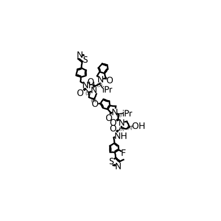 Cc1ncsc1-c1ccc(CNC(=O)[C@@H]2C[C@@H](O)CN2C(=O)[C@H](C(C)C)N2Cc3ccc(O[C@@H]4C[C@@H](C(=O)NCc5ccc(-c6cncs6)cc5)N(C(=O)[C@H](C(C)C)N5Cc6ccccc6C5=O)C4)cc3C2=O)cc1F